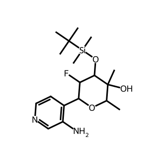 CC1OC(c2ccncc2N)C(F)C(O[Si](C)(C)C(C)(C)C)C1(C)O